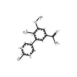 [CH2]CCOc1cc(C(N)=O)cc(-c2cnc(Cl)nc2)c1[N+](=O)[O-]